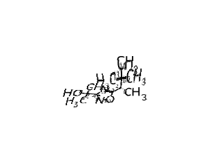 C[C@H](c1nc(C(C)(C)O)no1)C(C)(C)C